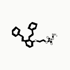 NOS(=O)(=O)OCCOc1cccc(C=Cc2ccccc2)c1C=Cc1ccccc1